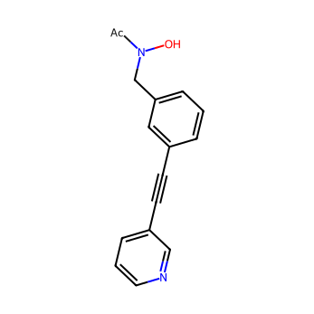 CC(=O)N(O)Cc1cccc(C#Cc2cccnc2)c1